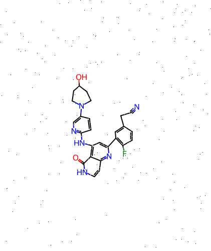 N#CCc1ccc(F)c(-c2cc(Nc3ccc(N4CCC(O)CC4)cn3)c3c(=O)[nH]ccc3n2)c1